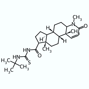 CN1C(=O)C=C[C@@]2(C)C1CC[C@@H]1[C@H]2CC[C@]2(C)C(C(=O)NC(=S)NC(C)(C)C)CC[C@@H]12